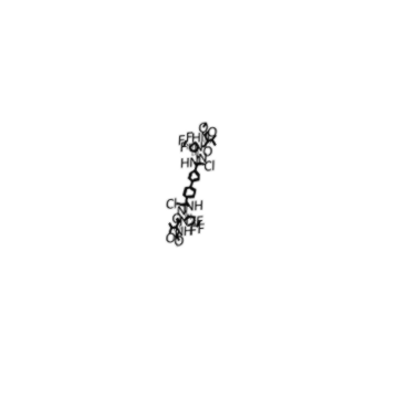 COC(=O)N[C@H](C(=O)N1C[C@@H](C(F)(F)F)C[C@H]1c1nc(Cl)c(-c2ccc(-c3ccc(-c4[nH]c([C@@H]5C[C@H](C(F)(F)F)CN5C(=O)[C@@H](NC(=O)OC)C(C)C)nc4Cl)cc3)cc2)[nH]1)C(C)C